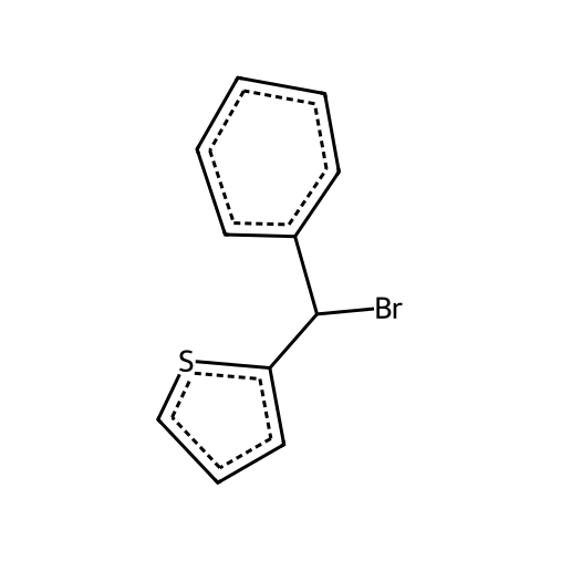 BrC(c1ccccc1)c1cccs1